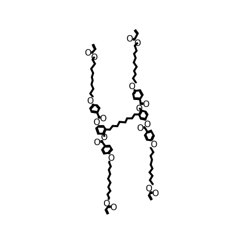 C=CC(=O)OCCCCCCCCCCOc1ccc(C(=O)Oc2ccc(OC(=O)c3ccc(OCCCCCCCCCCOC(=O)C=C)cc3)c(CCCCCCCCc3cc(OC(=O)c4ccc(OCCCCCCCCCCOC(=O)C=C)cc4)ccc3OC(=O)c3ccc(OCCCCCCCCCCOC(=O)C=C)cc3)c2)cc1